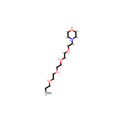 COCCOCCOCCOCCOCCN1CCOCC1